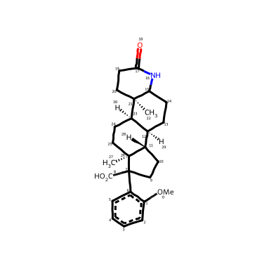 COc1ccccc1C1(C(=O)O)CC[C@H]2[C@@H]3CCC4NC(=O)CC[C@]4(C)[C@@H]3CC[C@@]21C